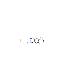 O=C(O)N1C=Cc2cc3c(cc2=C1)OC=CN=3